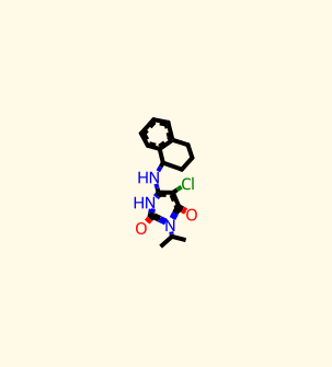 CC(C)n1c(=O)[nH]c(NC2CCCc3ccccc32)c(Cl)c1=O